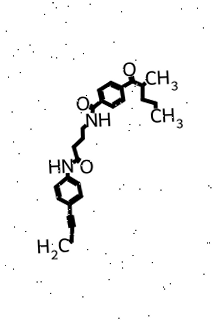 C=CC#Cc1ccc(NC(=O)CCCNC(=O)c2ccc(C(=O)C(C)CCC)cc2)cc1